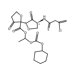 C=C(Cl)CC(=S)N[C@H]1CON(C2(C(=O)OC(C)OC(=O)OC3CCCCC3)OCCC2=O)C1=O